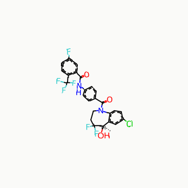 C[C@@]1(O)c2cc(Cl)ccc2N(C(=O)c2ccc(NC(=O)c3cc(F)ccc3C(F)(F)F)cc2)CCC1(F)F